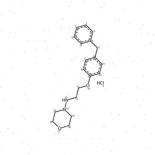 Cl.c1ccc(Cc2ccc(OCCNN3CCOCC3)cc2)cc1